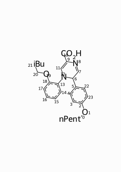 CCCCCOc1ccc(C2C=NC(C(=O)O)=CN2c2ccccc2OCC(C)CC)cc1